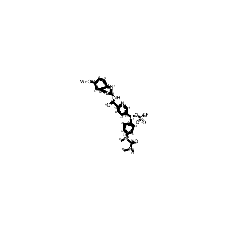 COc1ccc2nc(NC(=O)c3ccc([I+](OS(=O)(=O)C(F)(F)F)c4ccc(N(C)C(=O)N(C)C)cc4)cn3)sc2c1